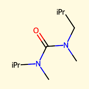 CC(C)CN(C)C(=O)N(C)C(C)C